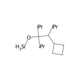 CC(C)C(C1C[CH]C1)C(O[SiH3])(C(C)C)C(C)C